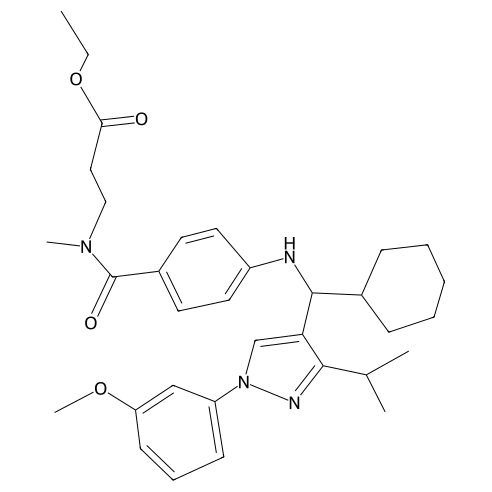 CCOC(=O)CCN(C)C(=O)c1ccc(NC(c2cn(-c3cccc(OC)c3)nc2C(C)C)C2CCCCC2)cc1